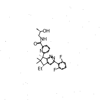 CC[C@H]1c2cc(-c3c(F)cccc3F)nnc2[C@](C)(c2cccc(C(=O)NC[C@@H](C)O)n2)C1(C)C